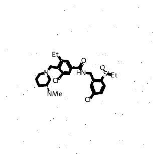 CCc1cc(C(=O)NCc2cc(Cl)ccc2[S+]([O-])CC)cc(Cl)c1CN1CCC[C@H](NC)C1